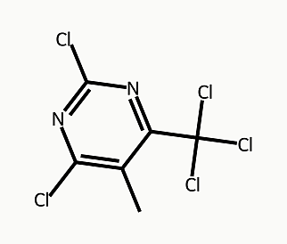 Cc1c(Cl)nc(Cl)nc1C(Cl)(Cl)Cl